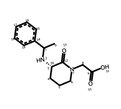 CC(N[C@H]1CCCN(CC(=O)O)C1=O)c1ccccc1